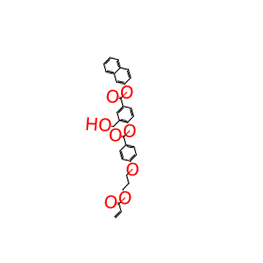 C=CC(=O)OCCCOc1ccc(C(=O)Oc2ccc(C(=O)Oc3ccc4ccccc4c3)cc2CO)cc1